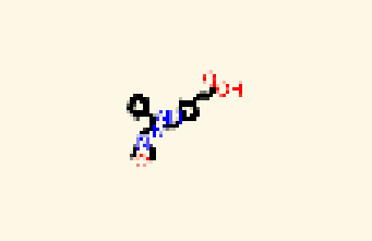 O=C(O)/C=C/c1ccc(Cc2nc(CN3CCOCC3)c(-c3ccccc3)[nH]2)cc1